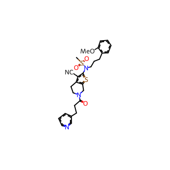 COc1ccccc1CCCN(c1sc2c(c1C#N)CCN(C(=O)CCc1cccnc1)C2)S(C)(=O)=O